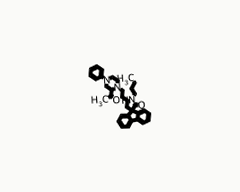 CCCCNC(=O)C1(CCCCN2CCN(c3ccccc3)CC2C(C)=O)c2ccccc2-c2ccccc21